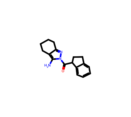 Nc1c2c(nn1C(=O)C1CCc3ccccc31)CCCC2